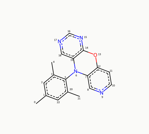 Cc1cc(C)c(N2c3cnccc3Oc3ncncc32)c(C)c1